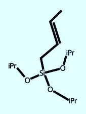 CC=CC[Si](OC(C)C)(OC(C)C)OC(C)C